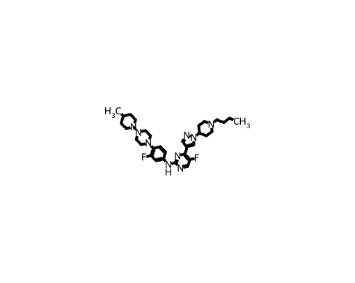 CCCCN1CCC(n2cc(-c3nc(Nc4ccc(N5CCN(N6CCC(C)CC6)CC5)c(F)c4)ncc3F)cn2)CC1